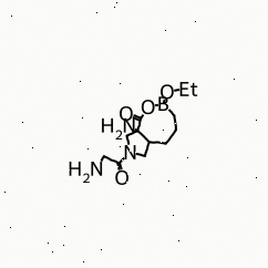 CCOB1CCCC2CN(C(=O)CN)CC2(N)C(=O)O1